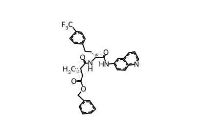 C[C@@H](CC(=O)OCc1ccccc1)C(=O)N[C@H](CCc1ccc(C(F)(F)F)cc1)C(=O)Nc1ccc2ncccc2c1